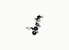 CCCc1cc(N2C[C@H](CNC(=O)c3ccc(Cl)s3)OC2=O)ccc1-n1ccccc1=O